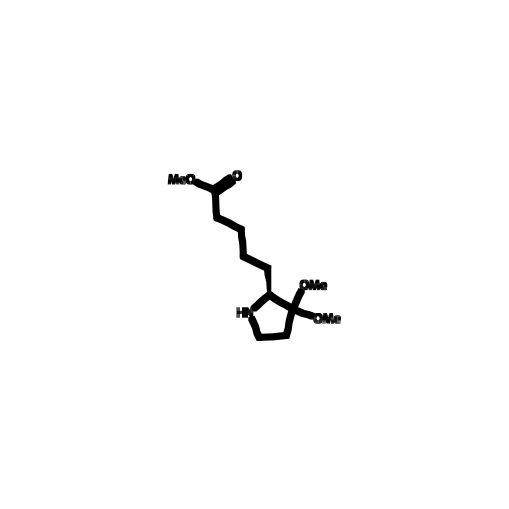 COC(=O)CCCC[C@@H]1NCCC1(OC)OC